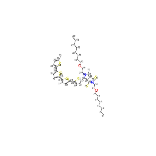 CCCCCCCCOCCN1C(=S)c2c(c(-c3ccc(-c4ccc(-c5ccc(-c6ccc(C)s6)s5)s4)s3)n(CCOCCCCCCCC)c2C)C1=S